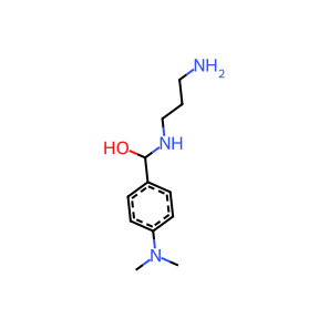 CN(C)c1ccc(C(O)NCCCN)cc1